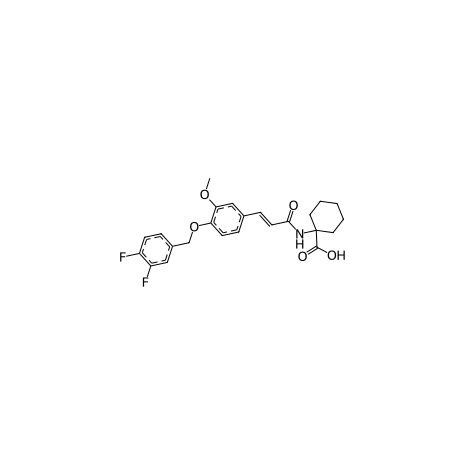 COc1cc(C=CC(=O)NC2(C(=O)O)CCCCC2)ccc1OCc1ccc(F)c(F)c1